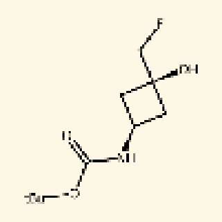 CC(C)(C)OC(=O)N[C@H]1C[C@](O)(CF)C1